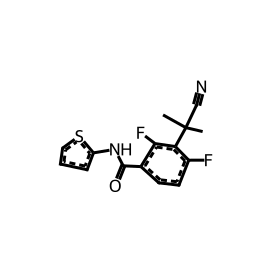 CC(C)(C#N)c1c(F)ccc(C(=O)Nc2cccs2)c1F